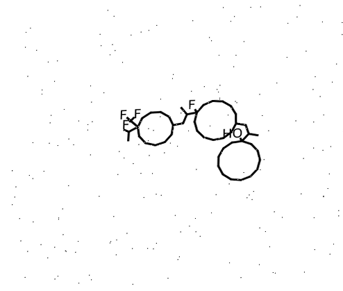 CC(CC1CCCCCCC(F)(C(C)CC2CCCCCC(C(C)C)(C(F)(F)F)CCCC2)CCCCC1)C1(O)CCCCCCCCCCCC1